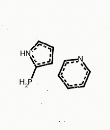 Pc1ccc[nH]1.c1ccncc1